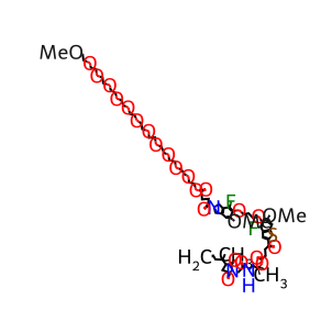 C=CCC(C)C1CC(=O)N(CC(=O)NC[C@H](C)OC(=O)CCC(=O)c2cc3c(F)c(OCCCOc4c(OC)cc5c(c4F)CN(C(=O)CCC(=O)OCCOCCOCCOCCOCCOCCOCCOCCOCCOCCOCCOCCOC)C5)c(OC)cc3s2)C1=O